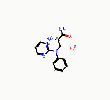 NC(=O)[C@@H](N)CN(c1ccccc1)c1ncccn1.O